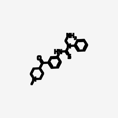 CN1CCC(C(=O)c2cccc(NC(=S)N(CN)c3ccccc3)c2)CC1